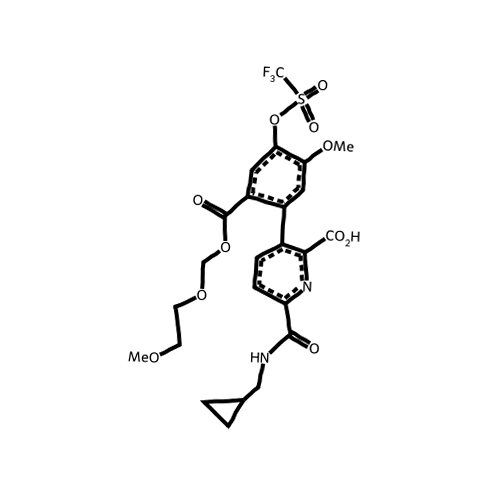 COCCOCOC(=O)c1cc(OS(=O)(=O)C(F)(F)F)c(OC)cc1-c1ccc(C(=O)NCC2CC2)nc1C(=O)O